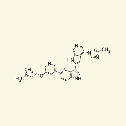 Cc1cn(-c2cncc3[nH]c(-c4n[nH]c5ccc(-c6cncc(OCCN(C)C)c6)nc45)cc23)cn1